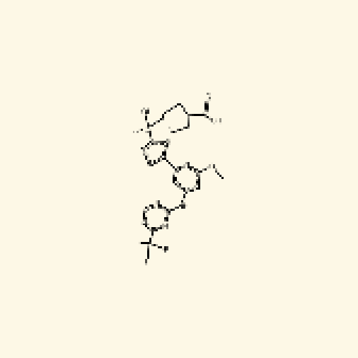 COc1cc(Nc2nccc(C(F)(F)F)n2)cc(-c2cnc([C@@](C)(O)[C@H]3CC[C@H](C(=O)O)CC3)s2)n1